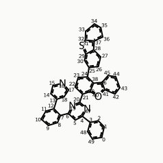 c1ccc(-c2cc(-c3ccccc3-c3ccncc3)nc(-c3ccc(-c4ccc5c(c4)sc4ccccc45)c4c3oc3ccccc34)n2)cc1